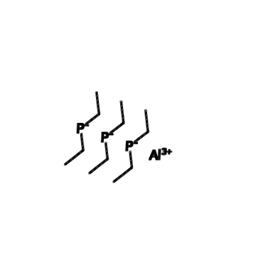 CC[P-]CC.CC[P-]CC.CC[P-]CC.[Al+3]